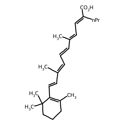 CCC\C(=C/C=C(C)/C=C/C=C(C)/C=C/C1=C(C)CCCC1(C)C)C(=O)O